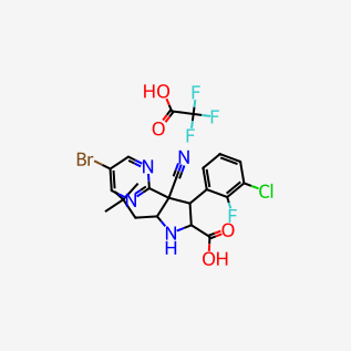 CC(C)(C)CC1NC(C(=O)O)C(c2cccc(Cl)c2F)C1(C#N)c1ncc(Br)cn1.O=C(O)C(F)(F)F